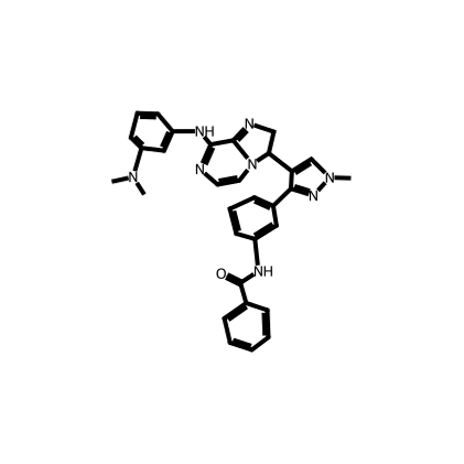 CN(C)c1cccc(NC2=NC=CN3C2=NCC3c2cn(C)nc2-c2cccc(NC(=O)c3ccccc3)c2)c1